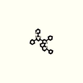 c1ccc(-c2cc(-c3cc(-c4ccccc4)nc4c3ccc3ccc(-c5ccccc5)nc34)nc(-c3ccccn3)n2)cc1